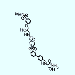 CNS(=O)(=O)c1cccc(OCC(O)CNC2COC3(CCN(S(=O)(=O)c4cccc(-c5ccc(CN[C@@H](CO)C(N)=O)cc5)c4)CC3)C2)c1